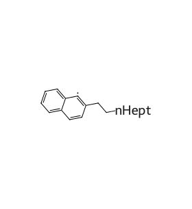 CCCCCCCCCc1[c]c2ccccc2cc1